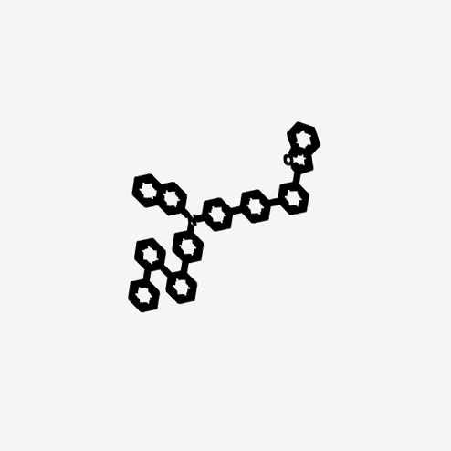 c1ccc(-c2ccccc2-c2ccccc2-c2ccc(N(c3ccc(-c4ccc(-c5cccc(-c6cc7ccccc7o6)c5)cc4)cc3)c3ccc4ccccc4c3)cc2)cc1